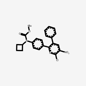 CC(C)(C)OC(=O)N(c1ccc(-c2nc(Cl)c([N+](=O)[O-])cc2-c2ccccc2)cc1)C1CCC1